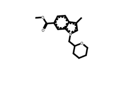 COC(=O)c1ccc2c(C)cn(CC3CCCCO3)c2c1